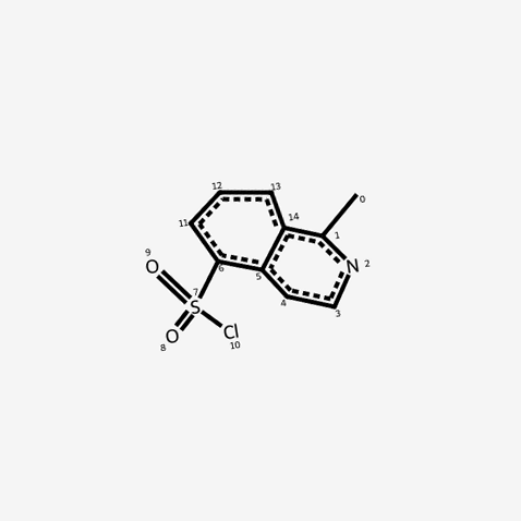 Cc1nccc2c(S(=O)(=O)Cl)cccc12